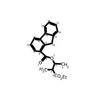 CCOC(=O)C(C)C(C)OC(=O)c1cccc2c1Cc1ccccc1-2